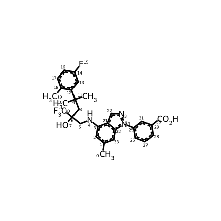 Cc1cc(NCC(O)(CC(C)(C)c2cc(F)ccc2C)C(F)(F)F)c2cnn(-c3cccc(C(=O)O)c3)c2c1